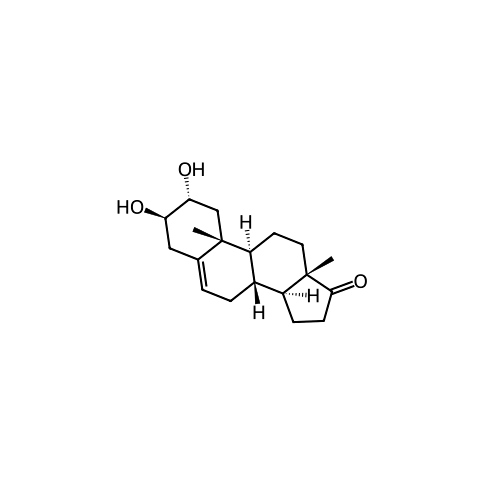 C[C@]12C[C@@H](O)[C@H](O)CC1=CC[C@@H]1[C@@H]2CC[C@]2(C)C(=O)CC[C@@H]12